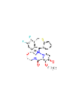 CCOC(=O)Oc1c2n(ccc1=O)N([C@@H]1c3ccccc3SCc3c1ccc(F)c3F)[C@@H]1COCCN1C2=O